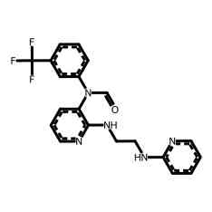 O=CN(c1cccc(C(F)(F)F)c1)c1cccnc1NCCNc1ccccn1